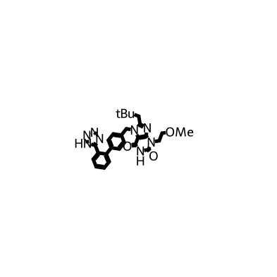 COCCn1c(=O)[nH]c(=O)c2c1nc(CC(C)(C)C)n2Cc1ccc(-c2ccccc2-c2nnn[nH]2)cc1